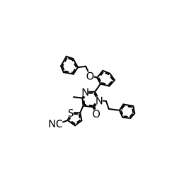 Cc1nc(-c2ccccc2OCc2ccccc2)n(CCc2ccccc2)c(=O)c1-c1ccc(C#N)s1